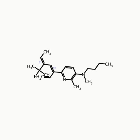 C=C/C(=C\C(=C/C)C(C)(C)F)c1ccc(N(C)CCCC)c(C)n1